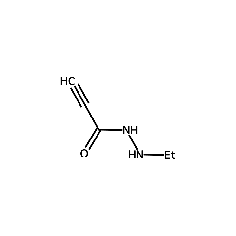 C#CC(=O)NNCC